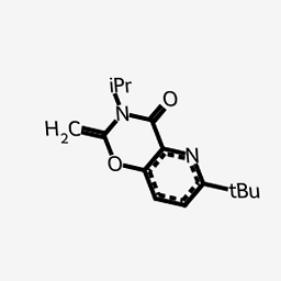 C=C1Oc2ccc(C(C)(C)C)nc2C(=O)N1C(C)C